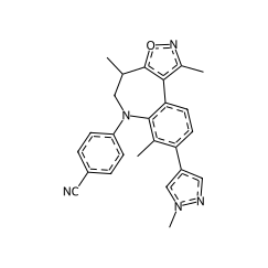 Cc1noc2c1-c1ccc(-c3cnn(C)c3)c(C)c1N(c1ccc(C#N)cc1)CC2C